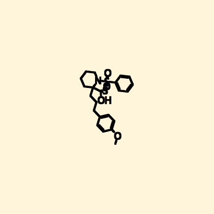 COc1ccc(CCCC2(C(O)=S)CCCCN2S(=O)(=O)c2ccccc2)cc1